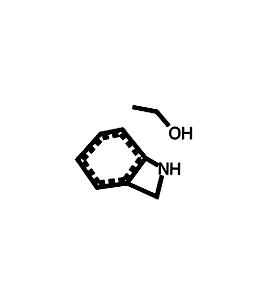 CCO.c1ccc2c(c1)CN2